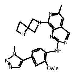 COc1cc(-c2cnnn2C)ccc1Nc1ncc2cc(C)nc(N3CC4(CCO4)C3)c2n1